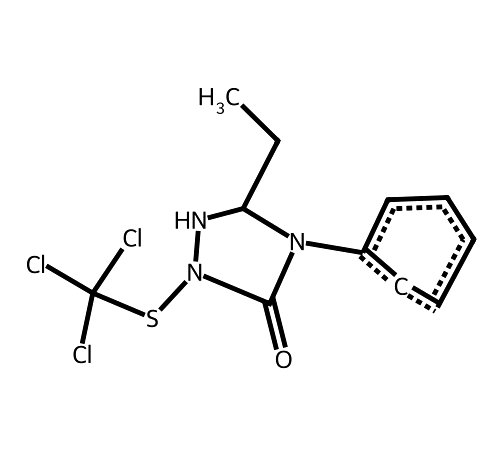 CCC1NN(SC(Cl)(Cl)Cl)C(=O)N1c1ccccc1